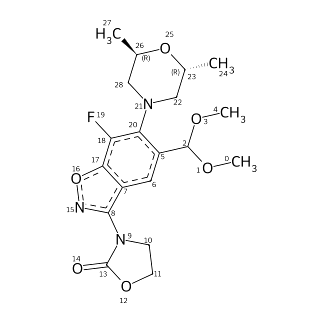 COC(OC)c1cc2c(N3CCOC3=O)noc2c(F)c1N1C[C@@H](C)O[C@H](C)C1